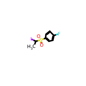 CC(I)S(=O)(=O)c1ccc(F)cc1